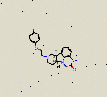 O=C1CN2c3c(cccc3[C@@H]3CN(CCOc4ccc(F)cc4)CC[C@@H]32)N1